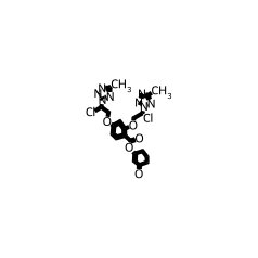 Cc1nnn(C(Cl)COc2ccc(C(=O)OC3=CC(=O)CCC3)c(OCC(Cl)n3nnc(C)n3)c2)n1